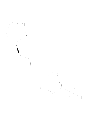 FC(F)(F)c1ccc(CCO[C@H]2CCNC2)cc1